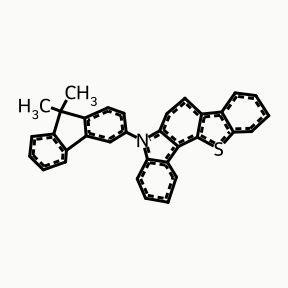 CC1(C)c2ccccc2-c2cc(-n3c4ccccc4c4c5sc6ccccc6c5ccc43)ccc21